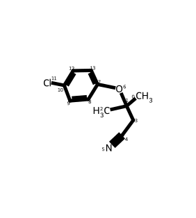 CC(C)(CC#N)Oc1ccc(Cl)cc1